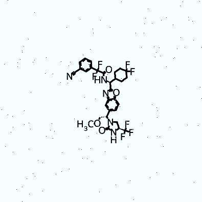 COC[C@H](c1ccc2oc([C@@H](NC(=O)C(F)(F)c3cccc(C#N)c3)C3CCC(F)(F)CC3)nc2c1)N1C[C@@H](C(F)(F)F)NC1=O